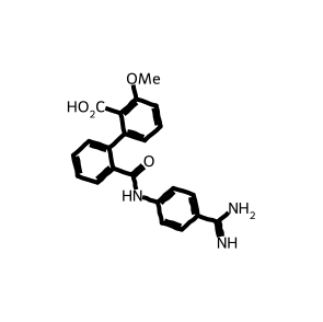 COc1cccc(-c2ccccc2C(=O)Nc2ccc(C(=N)N)cc2)c1C(=O)O